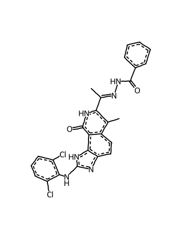 CC(=NNC(=O)c1ccccc1)c1[nH]c(=O)c2c(ccc3nc(Nc4c(Cl)cccc4Cl)[nH]c32)c1C